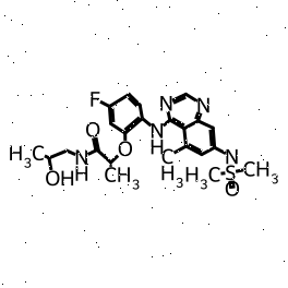 Cc1cc(N=S(C)(C)=O)cc2ncnc(Nc3ccc(F)cc3O[C@H](C)C(=O)NCC(C)O)c12